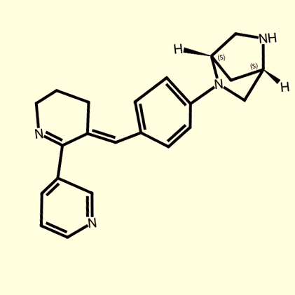 C(=C1CCCN=C1c1cccnc1)c1ccc(N2C[C@@H]3C[C@H]2CN3)cc1